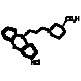 Cl.O=C(O)[C@@H]1CCCN(CCCN2c3ccccc3Sc3ccccc32)C1